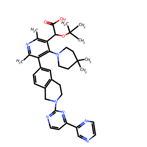 Cc1nc(C)c(C(OC(C)(C)C)C(=O)O)c(N2CCC(C)(C)CC2)c1-c1ccc2c(c1)CCN(c1nccc(-c3cnccn3)n1)C2